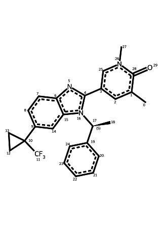 Cc1cc(-c2nc3ccc(C4(C(F)(F)F)CC4)cc3n2[C@@H](C)c2ccccc2)cn(C)c1=O